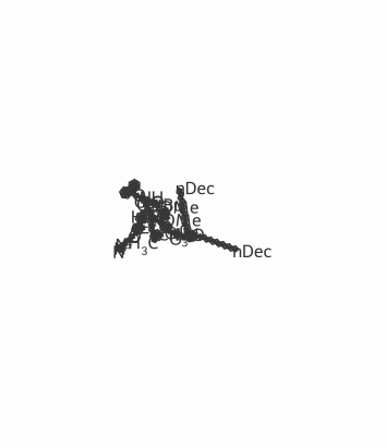 CCCCCCCCCCCCCCCCCCCCCCOc1ccc(CNC(=O)COc2ccc(C(NC(=O)[C@H](CCCc3cc(C)cc(C)c3)NC(=O)[C@H](Cc3ccc(-c4ccc(OCCCCN=[N+]=[N-])cc4CC)cc3)NC(=O)[C@H](CC(=O)OC(C)(C)C)NC(=O)OCC3c4ccccc4-c4ccccc43)c3ccc(OC)cc3OC)cc2)c(OCCCCCCCCCCCCCCCCCCCCCC)c1